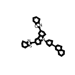 c1ccc2cc(-c3ccc(-n4c5ccc(-c6nc7ccccc7o6)cc5c5cc(-c6nc7ccccc7s6)ccc54)cc3)ccc2c1